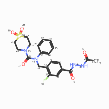 O=C(NNC(=O)C(F)(F)F)c1ccc(CN(C(=O)N2CCS(=O)(=O)CC2)c2ccccc2)c(F)c1